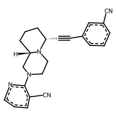 N#Cc1cccc(C#C[C@H]2CCC[C@H]3CN(c4ncccc4C#N)CCN32)c1